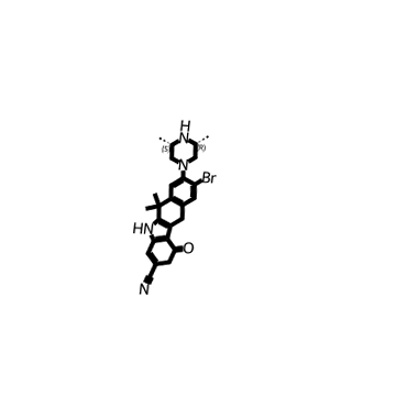 C[C@@H]1CN(c2cc3c(cc2Br)Cc2c([nH]c4c2C(=O)CC(C#N)=C4)C3(C)C)C[C@H](C)N1